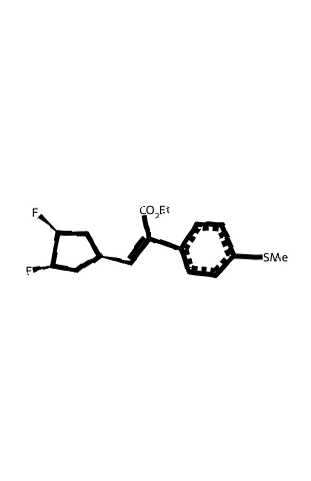 CCOC(=O)C(=C[C@H]1C[C@@H](F)[C@@H](F)C1)c1ccc(SC)cc1